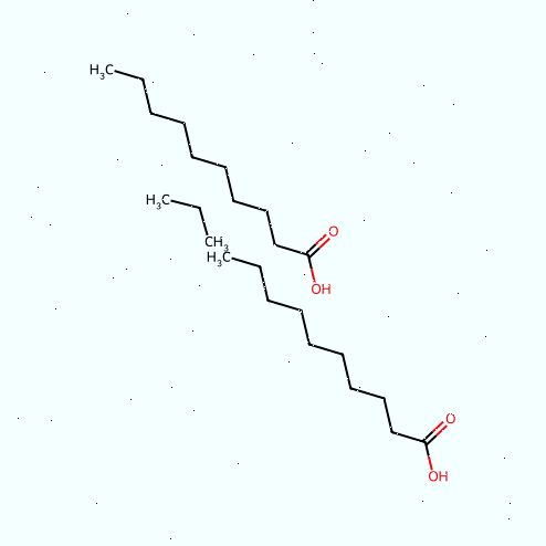 CCC.CCCCCCCCCC(=O)O.CCCCCCCCCC(=O)O